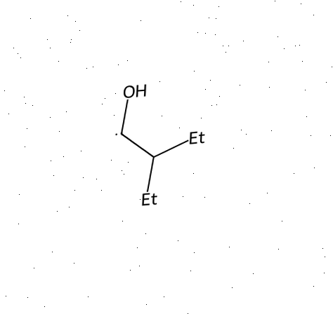 CCC([CH]O)CC